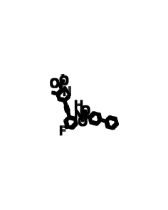 COC(=O)c1ncc(C#Cc2cc(F)ccc2NS(=O)(=O)c2ccc(-c3ccccc3)cc2)cc1C